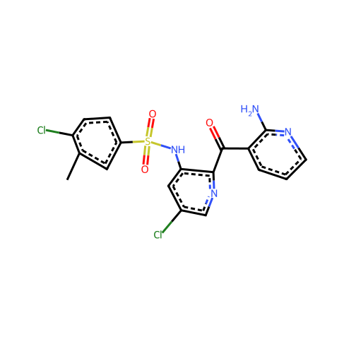 Cc1cc(S(=O)(=O)Nc2cc(Cl)cnc2C(=O)c2cccnc2N)ccc1Cl